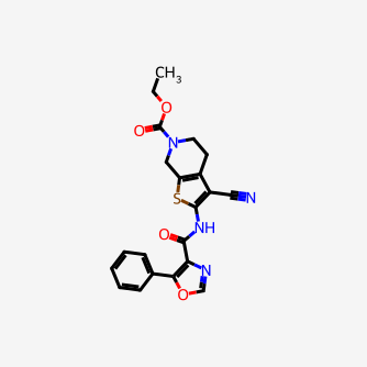 CCOC(=O)N1CCc2c(sc(NC(=O)c3ncoc3-c3ccccc3)c2C#N)C1